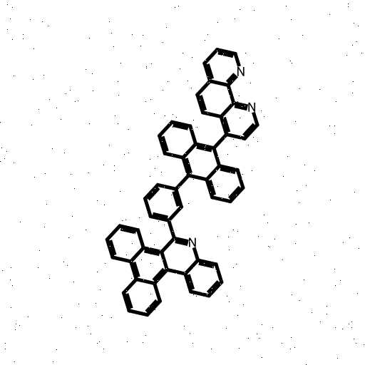 c1cc(-c2c3ccccc3c(-c3ccnc4c3ccc3cccnc34)c3ccccc23)cc(-c2nc3ccccc3c3c4ccccc4c4ccccc4c23)c1